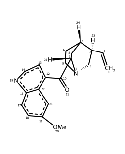 C=C[C@H]1C[N@]2CC[C@H]1C[C@H]2C(=O)c1ccnc2ccc(OC)cc12